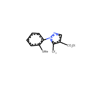 CCOC(=O)c1cnn(-c2ccccc2SC)c1C(F)(F)F